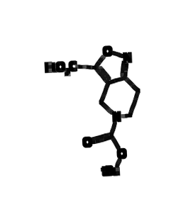 CCOC(=O)c1onc2c1CN(C(=O)OC(C)(C)C)CC2